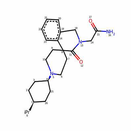 CC(C)[C@H]1CC[C@@H](N2CCC3(CC2)C(=O)N(CC(N)=O)Cc2ccccc23)CC1